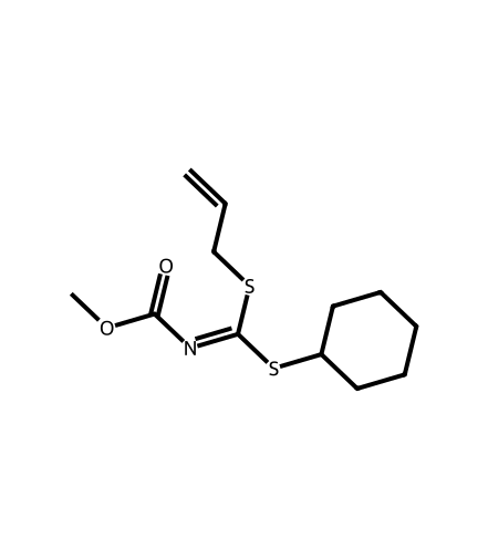 C=CCSC(=NC(=O)OC)SC1CCCCC1